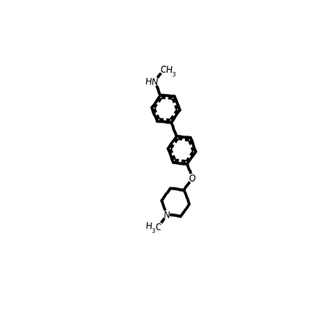 CNc1ccc(-c2ccc(OC3CCN(C)CC3)cc2)cc1